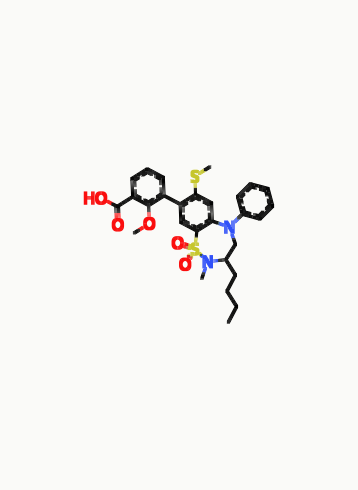 CCCCC1CN(c2ccccc2)c2cc(SC)c(-c3cccc(C(=O)O)c3OC)cc2S(=O)(=O)N1C